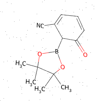 CC1(C)OB(C2C(=O)C=CC=C2C#N)OC1(C)C